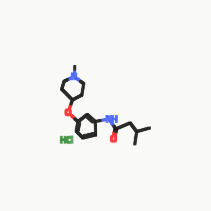 CC(C)CC(=O)Nc1cccc(OC2CCN(C)CC2)c1.Cl